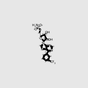 NS(=O)(=O)OC[C@H]1O[C@@H](n2cnc3c(-c4cccc(C(F)(F)F)c4)ncnc32)[C@H](O)[C@@H]1O